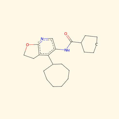 O=C(Nc1cnc2c(c1C1CCCCCCC1)CCO2)C1CCCCC1